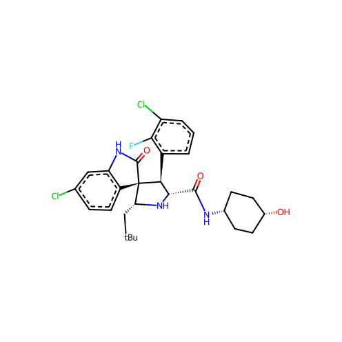 CC(C)(C)C[C@H]1N[C@@H](C(=O)N[C@H]2CC[C@@H](O)CC2)[C@H](c2cccc(Cl)c2F)[C@@]12C(=O)Nc1cc(Cl)ccc12